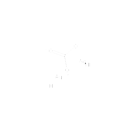 I.I.O=C([O-])[O-].[Ag+].[Ag+]